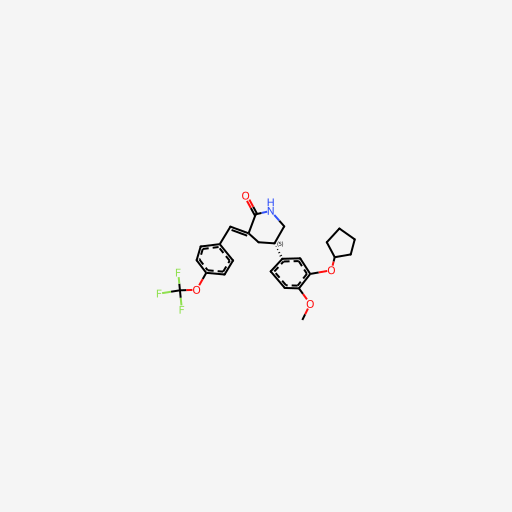 COc1ccc([C@H]2CNC(=O)C(=Cc3ccc(OC(F)(F)F)cc3)C2)cc1OC1CCCC1